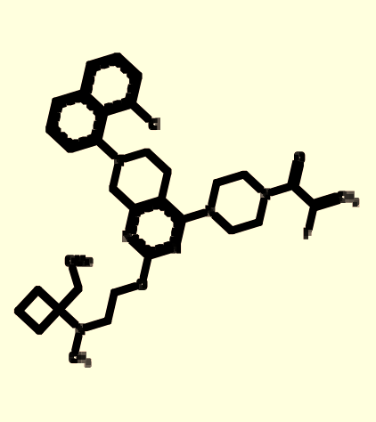 C=C(F)C(=O)N1CCN(c2nc(OCCN(C)C3(COC)CCC3)nc3c2CCN(c2cccc4cccc(Cl)c24)C3)CC1